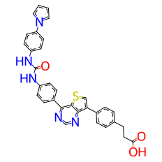 O=C(O)CCc1ccc(-c2csc3c(-c4ccc(NC(=O)Nc5ccc(-n6cccc6)cc5)cc4)ncnc23)cc1